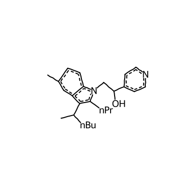 CCCCC(C)c1c(CCC)n(CC(O)c2ccncc2)c2ccc(C)cc12